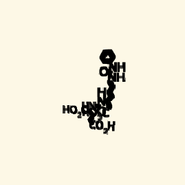 O=C(O)CCC(NC(=O)NC(CCCCNC(=O)Nc1ccccc1)CC(=O)O)C(=O)O